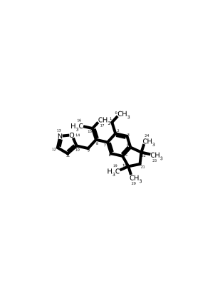 CCc1cc2c(cc1C(Cc1ccno1)=C(C)C)C(C)(C)CC2(C)C